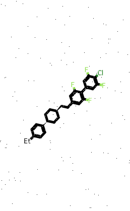 CCc1ccc([C@H]2CC[C@H](CCc3cc(F)c(-c4cc(F)c(Cl)c(F)c4)c(F)c3)CC2)cc1